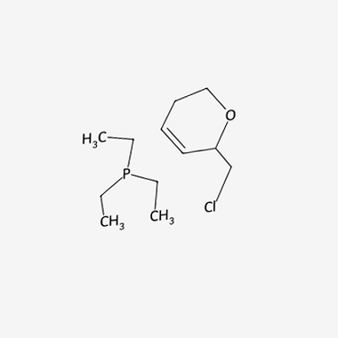 CCP(CC)CC.ClCC1C=CCCO1